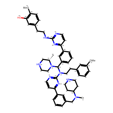 CCN(Cc1cccc(-c2ccnc(N(CCc3cccc(OC)c3)C(c3cccc(-c4ccnc(NCCc5ccc(OC)c(O)c5)n4)c3)N3CCNC[C@@H]3C)n2)c1)C1CCNCC1